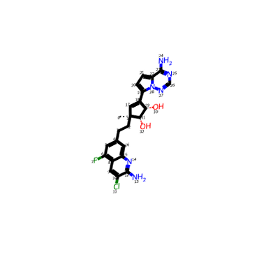 C[C@]1(CCc2cc(F)c3cc(Cl)c(N)nc3c2)C=C(c2ccc3c(N)ncnn23)[C@H](O)[C@@H]1O